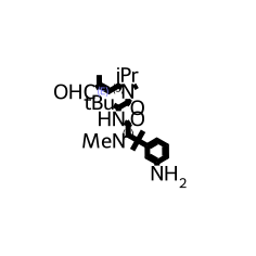 CN[C@H](C(=O)NC(C(=O)N(C)[C@H](/C=C(\C)C=O)C(C)C)C(C)(C)C)C(C)(C)c1cccc(N)c1